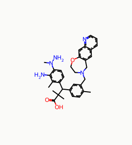 Cc1ccc(C(c2ccc(N(C)N)c(N)c2C)C(C)(C)C(=O)O)cc1CN1CCOc2cc3ncccc3cc2C1